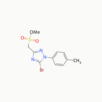 COS(=O)(=O)Cc1nc(Br)n(-c2ccc(C)cc2)n1